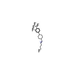 FCCC/C=C/C1CCC(c2ccc(C(F)(F)F)c(F)c2)CC1